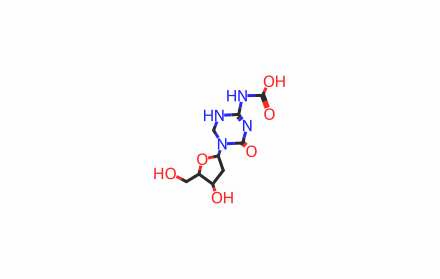 O=C(O)NC1=NC(=O)N(C2CC(O)C(CO)O2)CN1